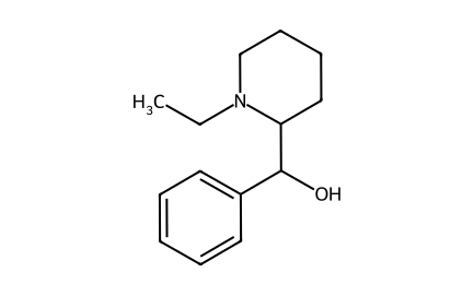 CCN1CCCCC1C(O)c1ccccc1